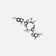 Nc1ccc2c(=O)n([C@@H]3O[C@@H]4COP(=O)(S)OC5C[C@@H](COC(S)C(=C=O)O[C@H]4C3O)O[C@H]5n3cnc4c(=O)[nH]c(N)nc43)cnc2c1